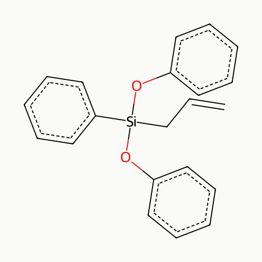 C=CC[Si](Oc1ccccc1)(Oc1ccccc1)c1ccccc1